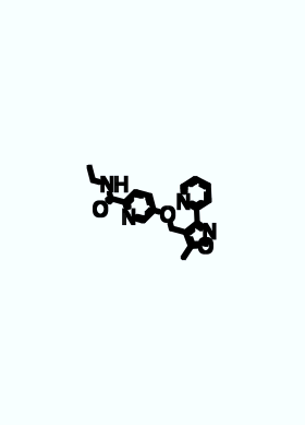 CCNC(=O)c1ccc(OCc2c(-c3ccccn3)noc2C)cn1